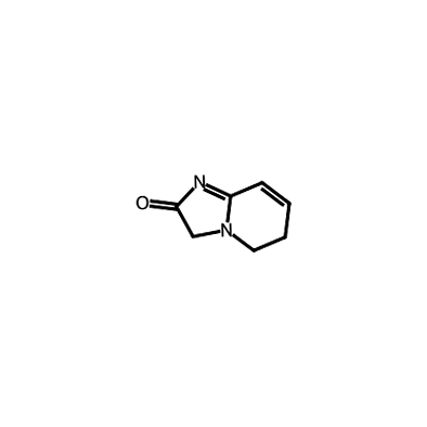 O=C1CN2CCC=CC2=N1